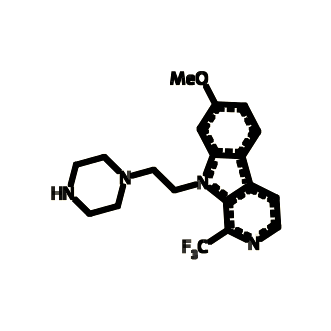 COc1ccc2c3ccnc(C(F)(F)F)c3n(CCN3CCNCC3)c2c1